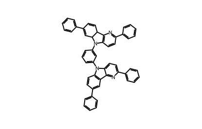 C1=CC2c3nc(-c4ccccc4)ccc3N(c3cccc(-n4c5ccc(-c6ccccc6)cc5c5nc(-c6ccccc6)ccc54)c3)C2C=C1c1ccccc1